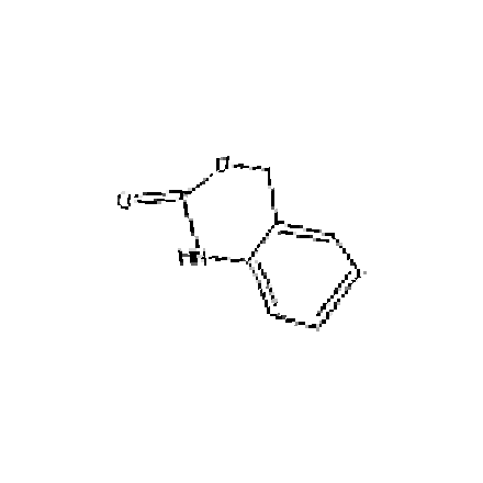 O=C1Nc2cc[c]cc2CO1